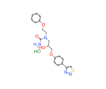 Cl.NC(=O)N(CCOc1ccccc1)CC(O)COc1ccc(-c2csnn2)cc1